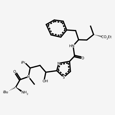 CCOC(=O)[C@@H](C)CC(Cc1ccccc1)NC(=O)c1csc(C(O)CC(C(C)C)N(C)C(=O)[C@@H](N)[C@@H](C)CC)n1